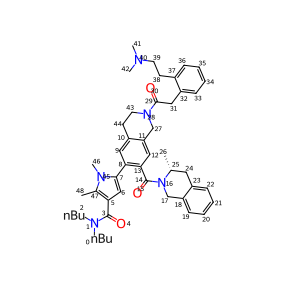 CCCCN(CCCC)C(=O)c1cc(-c2cc3c(cc2C(=O)N2Cc4ccccc4C[C@H]2C)CN(C(=O)Cc2ccccc2CCN(C)C)CC3)n(C)c1C